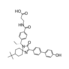 CC[C@H](c1ccc(C(=O)NCCC(=O)O)cc1)N1C(=O)C(c2ccc(-c3ccc(O)cc3)cc2)=NC12CCC(C(C)(C)C)CC2